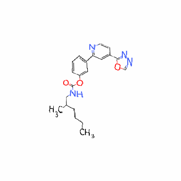 CCCCC(C)CNC(=O)Oc1cccc(-c2cc(-c3nnco3)ccn2)c1